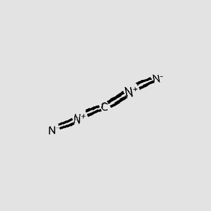 [N-]=[N+]=C=[N+]=[N-]